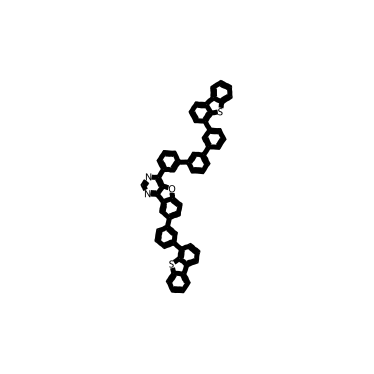 c1cc(-c2cccc(-c3ncnc4c3oc3ccc(-c5cccc(-c6cccc7c6sc6ccccc67)c5)cc34)c2)cc(-c2cccc(-c3cccc4c3sc3ccccc34)c2)c1